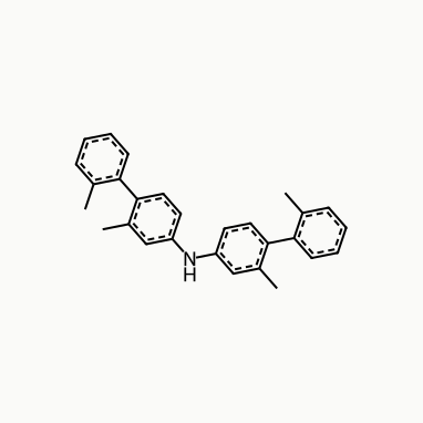 Cc1ccccc1-c1ccc(Nc2ccc(-c3ccccc3C)c(C)c2)cc1C